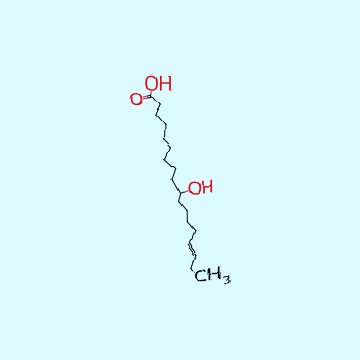 CCC=CCCCCC(O)CCCCCCCCC(=O)O